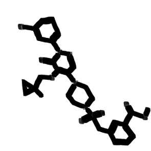 COC(=O)c1cccc(CS(=O)(=O)N2CCN(c3cnn(-c4cccc(Cl)c4)c(=O)c3OCC3(C)CC3)CC2)c1